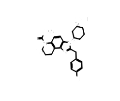 COC(=O)N1c2ccc3c(nc(Cc4ccc(Cl)cc4)n3[C@@H]3CCC[C@@H](C(=O)O)C3)c2CC[C@@H]1C